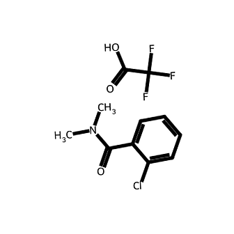 CN(C)C(=O)c1ccccc1Cl.O=C(O)C(F)(F)F